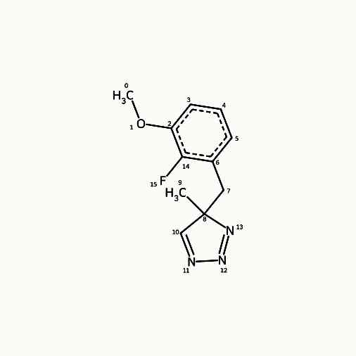 COc1cccc(CC2(C)C=NN=N2)c1F